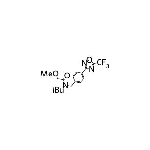 CCC(C)N(Cc1ccc(-c2noc(C(F)(F)F)n2)cc1)C(=O)COC